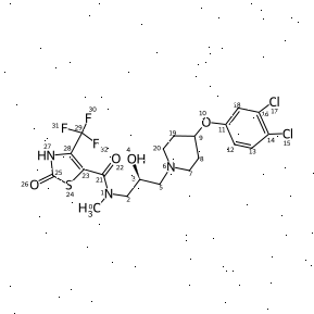 CN(C[C@@H](O)CN1CCC(Oc2ccc(Cl)c(Cl)c2)CC1)C(=O)c1sc(=O)[nH]c1C(F)(F)F